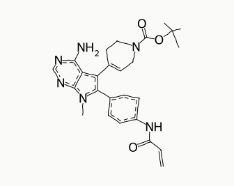 C=CC(=O)Nc1ccc(-c2c(C3=CCN(C(=O)OC(C)(C)C)CC3)c3c(N)ncnc3n2C)cc1